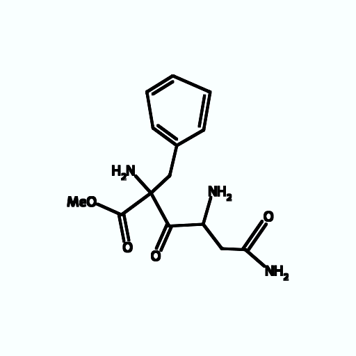 COC(=O)C(N)(Cc1ccccc1)C(=O)C(N)CC(N)=O